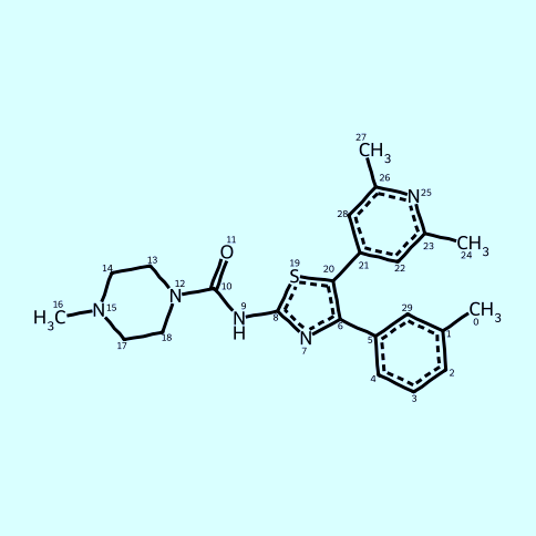 Cc1cccc(-c2nc(NC(=O)N3CCN(C)CC3)sc2-c2cc(C)nc(C)c2)c1